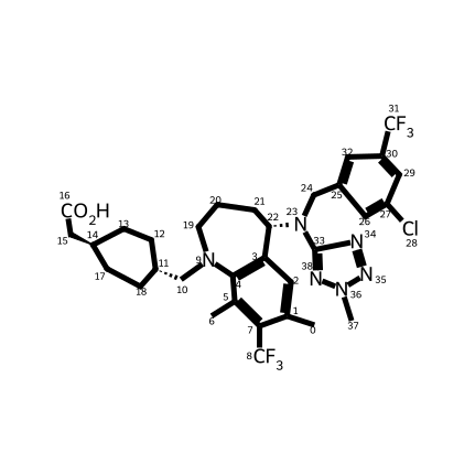 Cc1cc2c(c(C)c1C(F)(F)F)N(C[C@H]1CC[C@H](CC(=O)O)CC1)CCC[C@@H]2N(Cc1cc(Cl)cc(C(F)(F)F)c1)c1nnn(C)n1